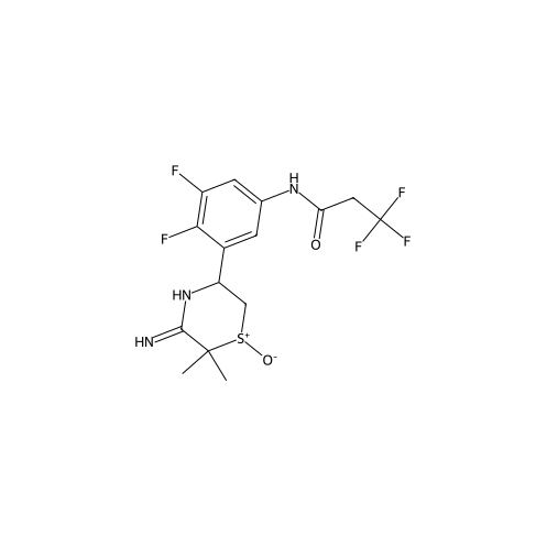 CC1(C)C(=N)NC(c2cc(NC(=O)CC(F)(F)F)cc(F)c2F)C[S+]1[O-]